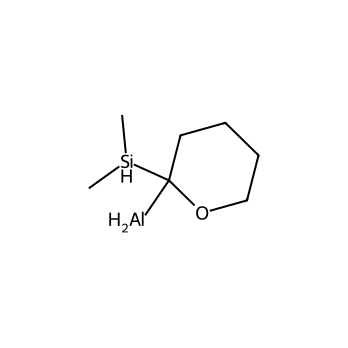 C[SiH](C)[C]1([AlH2])CCCCO1